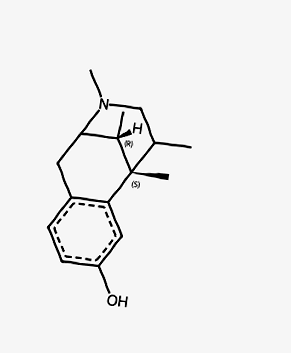 CC1CN(C)C2Cc3ccc(O)cc3[C@]1(C)[C@H]2C